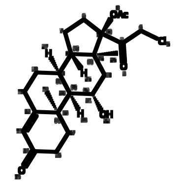 CC(=O)O[C@]1(C(=O)CCl)CC[C@H]2[C@@H]3CCC4=CC(=O)CC[C@]4(C)[C@@H]3[C@@H](O)C[C@@]21C